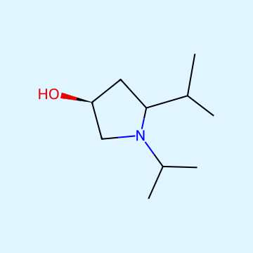 CC(C)C1C[C@H](O)CN1C(C)C